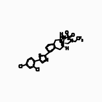 O=S1(=O)N[C@@]2(CN1CC(F)(F)F)[C@@H]1CC[C@H]2Cc2ccc(-c3ncc(-c4ccc(Cl)cc4Cl)s3)cc2C1